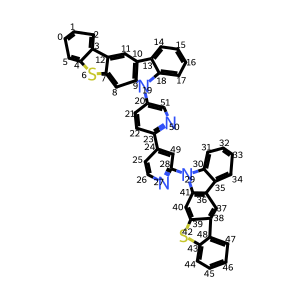 c1ccc2c(c1)sc1cc3c(cc12)c1ccccc1n3-c1ccc(-c2ccnc(-n3c4ccccc4c4cc5c(cc43)sc3ccccc35)c2)nc1